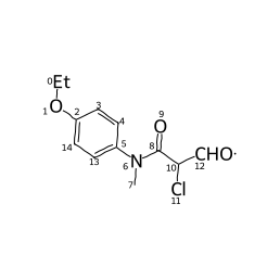 CCOc1ccc(N(C)C(=O)C(Cl)[C]=O)cc1